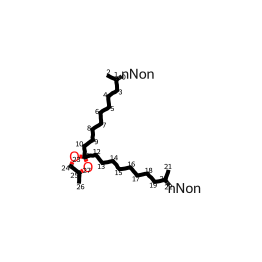 CCCCCCCCCC(C)CCCCCCCCC1(CCCCCCCCC(C)CCCCCCCCC)OCC(C)O1